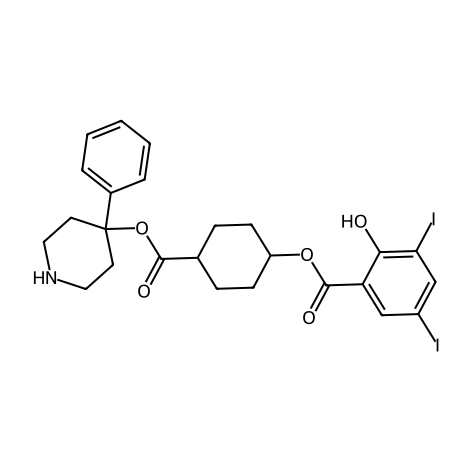 O=C(OC1CCC(C(=O)OC2(c3ccccc3)CCNCC2)CC1)c1cc(I)cc(I)c1O